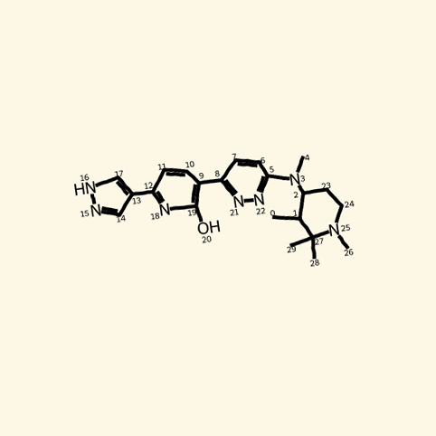 CC1C(N(C)c2ccc(-c3ccc(-c4cn[nH]c4)nc3O)nn2)CCN(C)C1(C)C